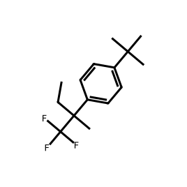 CCC(C)(c1ccc(C(C)(C)C)cc1)C(F)(F)F